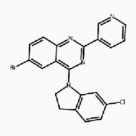 Clc1ccc2c(c1)N(c1nc(-c3cccnc3)nc3ccc(Br)cc13)CC2